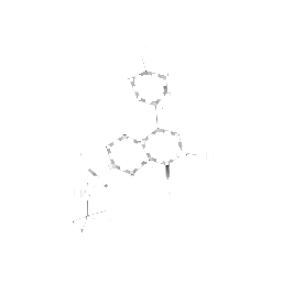 Cn1cc(-c2ccc(F)cc2)c2ccc(S(=O)(=O)NC3(C)CC3)cc2c1=O